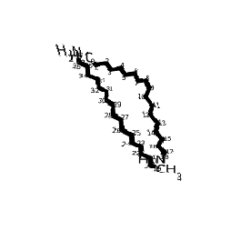 CCCCCCCC/C=C\CCCCCCCCN.CCCCCCCCCCCCCCCCCCN